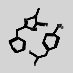 Cn1nc(Cc2ccccc2)[nH][c]1=[Pt].FC(F)(F)c1ccc(CN(I)I)cc1